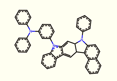 C1=c2c(n(-c3cccc(N(c4ccccc4)c4ccccc4)c3)c3ccccc23)=CC2C1c1c(ccc3ccccc13)N2c1ccccc1